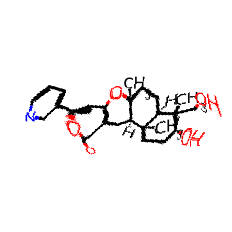 CC1(CO)[C@@H](O)CC[C@]2(C)[C@H]3Cc4c(cc(-c5cccnc5)oc4=O)O[C@]3(C)CC[C@@H]12